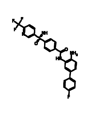 N=S(=O)(c1ccc(C(=O)Nc2cc(-c3ccc(F)cc3)ccc2N)cc1)c1ccc(C(F)(F)F)nc1